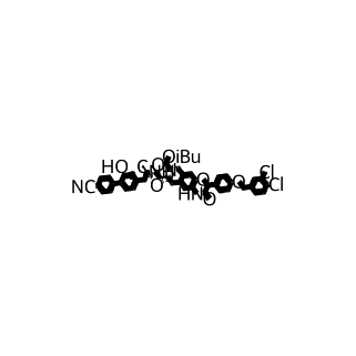 CC(C)COC(=O)N1Cc2cc3c(cc2C[C@H]1C(=O)N[C@@H](Cc1ccc(-c2ccc(C#N)cc2)cc1)C(=O)O)NC(=O)C(c1ccc(OCc2ccc(Cl)c(Cl)c2)cc1)O3